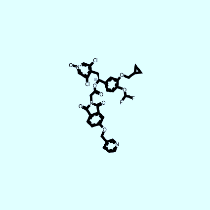 O=C(CN1C(=O)c2ccc(OCc3cccnc3)cc2C1=O)O[C@@H](Cc1c(Cl)c[n+]([O-])cc1Cl)c1ccc(OC(F)F)c(OCC2CC2)c1